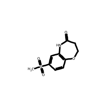 CS(=O)(=O)c1ccc2c(c1)NC(=O)CCO2